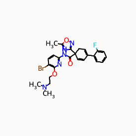 Cc1nc(C2(C(=O)Nc3ccc(Br)c(OCCN(C)C)n3)C=CC(c3ccccc3F)=CC2)no1